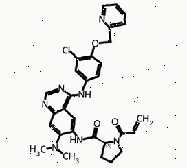 C=CC(=O)N1CCC[C@H]1C(=O)Nc1cc2c(Nc3ccc(OCc4ccccn4)c(Cl)c3)ncnc2cc1N(C)C